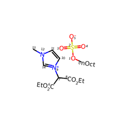 CCCCCCCCOS(=O)(=O)[O-].CCOC(=O)C(C(=O)OCC)[n+]1ccn(C)c1